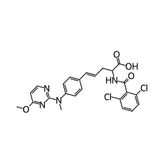 COc1ccnc(N(C)c2ccc(C=CCC(NC(=O)c3c(Cl)cccc3Cl)C(=O)O)cc2)n1